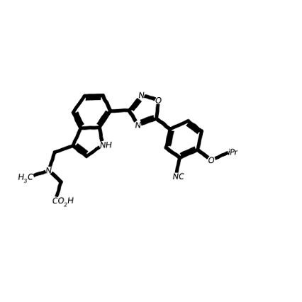 [C-]#[N+]c1cc(-c2nc(-c3cccc4c(CN(C)CC(=O)O)c[nH]c34)no2)ccc1OC(C)C